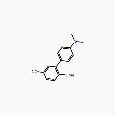 COc1ccc(C#N)cc1-c1ccc(N(C)C)cc1